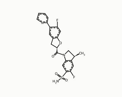 C[C@@H]1CN(C(=O)[C@H]2Cc3cc(-c4ccccn4)c(F)cc3O2)c2cc(S(N)(=O)=O)c(F)cc21